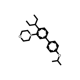 CCC(CC)c1ccc(-c2ccc(OC(C)C)cc2)cc1N1CCOCC1